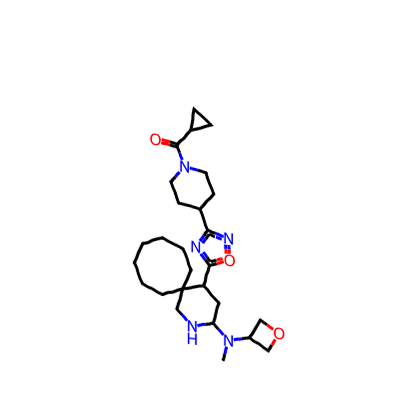 CN(C1COC1)C1CC(c2nc(C3CCN(C(=O)C4CC4)CC3)no2)C2(CCCCCCC2)CN1